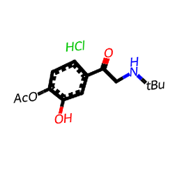 CC(=O)Oc1ccc(C(=O)CNC(C)(C)C)cc1O.Cl